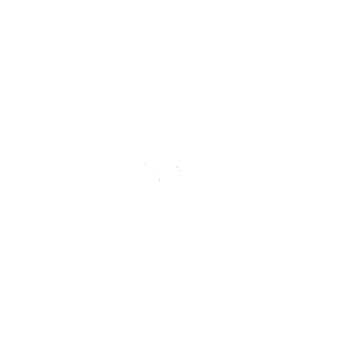 Cc1ccc(C(=O)NNC(=O)CCC2CCCC2)s1